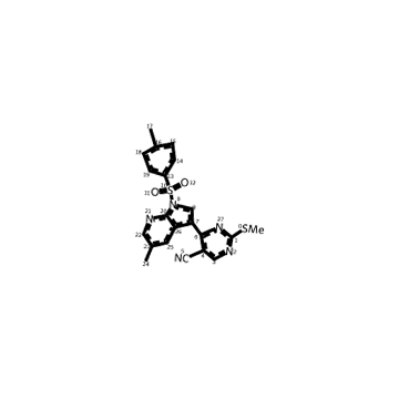 CSc1ncc(C#N)c(-c2cn(S(=O)(=O)c3ccc(C)cc3)c3ncc(C)cc23)n1